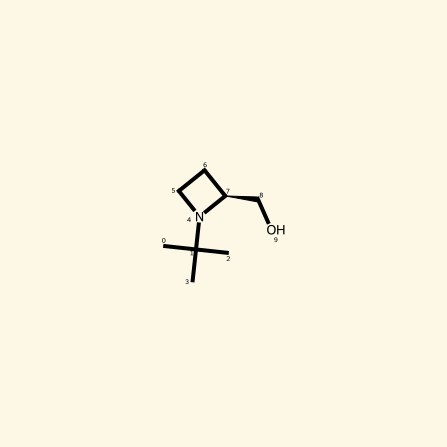 CC(C)(C)N1CC[C@H]1CO